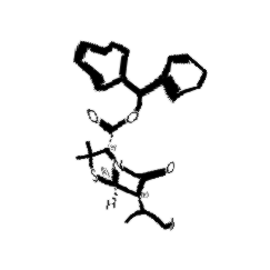 CC(I)[C@@H]1C(=O)N2[C@@H]1SC(C)(C)[C@@H]2C(=O)OC(c1ccccc1)c1ccccc1